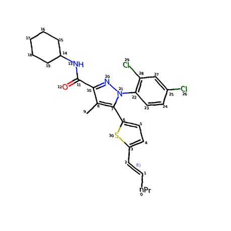 CCC/C=C/c1ccc(-c2c(C)c(C(=O)NC3CCCCC3)nn2-c2ccc(Cl)cc2Cl)s1